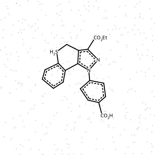 CCOC(=O)c1nn(-c2ccc(C(=O)O)cc2)c2c1C[SH2]c1ccccc1-2